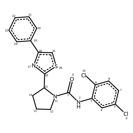 O=C(Nc1cc(Cl)ccc1Cl)N1CCCC1c1nc(-c2ccccc2)cs1